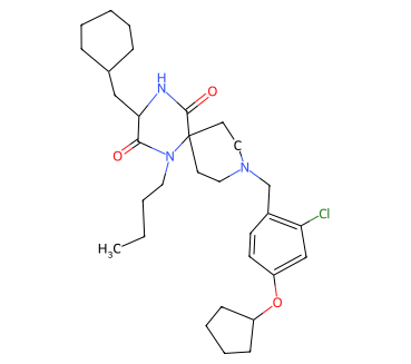 CCCCN1C(=O)C(CC2CCCCC2)NC(=O)C12CCN(Cc1ccc(OC3CCCC3)cc1Cl)CC2